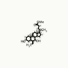 C/C=C1/C(O)C2C(CC[C@@]3(C)C2CCC3[C@H](C)CCC(=O)OC)[C@@]2(C)CC[C@@H](O)CC12